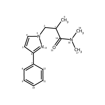 CC(Cn1ccc(-c2ccccc2)n1)C(=O)N(C)C